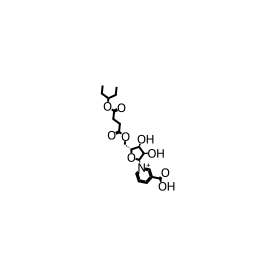 CCC(CC)OC(=O)CCC(=O)OC[C@H]1O[C@@H]([n+]2cccc(C(=O)O)c2)[C@H](O)[C@@H]1O